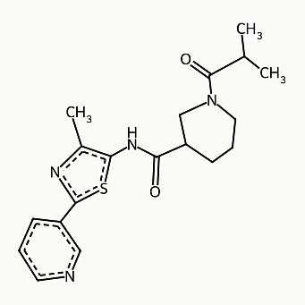 Cc1nc(-c2cccnc2)sc1NC(=O)C1CCCN(C(=O)C(C)C)C1